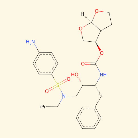 CC(C)CN(C[C@H](O)[C@@H](Cc1ccccc1)NC(=O)O[C@H]1CO[C@H]2OCCC21)S(=O)(=O)c1ccc(N)cc1